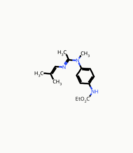 CCOC(=O)Nc1ccc(N(C)C(C)=NC=C(C)C)cc1